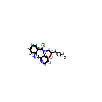 CCC(=O)CN1C(=O)c2ccccc2Nc2ncccc21